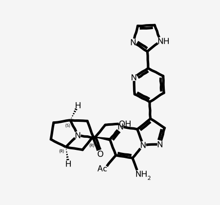 CC(=O)c1c([C@H]2C[C@H]3CC[C@@H](C2)N3C(=O)CO)nc2c(-c3ccc(-c4ncc[nH]4)nc3)cnn2c1N